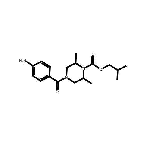 CC(C)COC(=O)N1C(C)CN(C(=O)c2ccc(N)cc2)CC1C